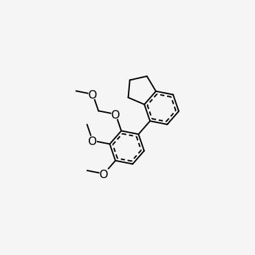 COCOc1c(-c2cccc3c2CCC3)ccc(OC)c1OC